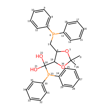 CC1(C)OC(CP(c2ccccc2)c2ccccc2)C(C(O)(O)P(c2ccccc2)c2ccccc2)O1